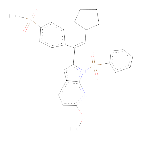 COc1ccc2cc(/C(=C/C3CCCC3)c3ccc(S(C)(=O)=O)cc3)n(S(=O)(=O)c3ccccc3)c2n1